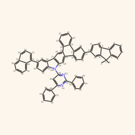 CC1(C)c2ccccc2-c2ccc(-c3ccc4c(c3)c3ccccc3c3cc5c6cc(-c7cccc8ccccc78)ccc6n(-c6cc(-c7ccccc7)nc(-c7ccccc7)n6)c5cc43)cc21